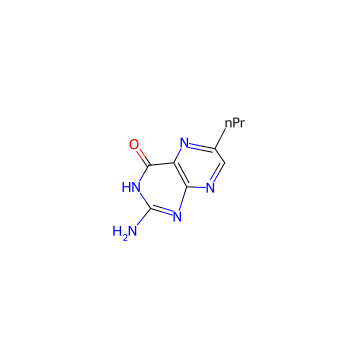 CCCc1cnc2nc(N)[nH]c(=O)c2n1